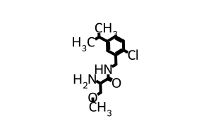 COCC(N)C(=O)NCc1cc(C(C)C)ccc1Cl